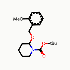 COc1ccccc1COC1CCCCN1C(=O)OC(C)(C)C